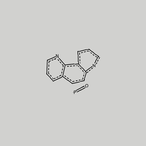 O=[P].c1cnc2c(c1)ccc1ncccc12